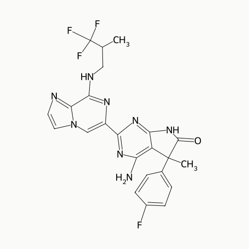 CC(CNc1nc(-c2nc(N)c3c(n2)NC(=O)C3(C)c2ccc(F)cc2)cn2ccnc12)C(F)(F)F